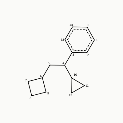 c1ccc(C(CC2CCC2)C2CC2)cc1